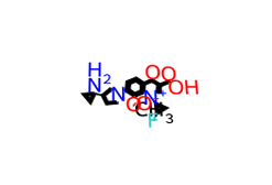 COc1c(N2CC[C@@H](C3(N)CC3)C2)ccc2c1[N+]([O-])([C@@H]1C[C@H]1F)C=C(C(=O)O)C2=O